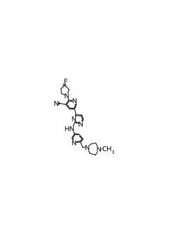 CN1CCN(Cc2ccc(Nc3nccc(-c4cnc(N5CC[C@@H](F)C5)c(C#N)c4)n3)cn2)CC1